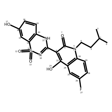 CC(C)CCn1c(=O)c(C2=NS(=O)(=O)c3cc(O)ccc3N2)c(O)c2cc(F)ccc21